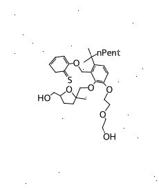 CCCCCC(C)(C)c1ccc(OCCOCCO)c(OCC2(C)CCC(CO)O2)c1COC1=CC=CCC1=S